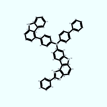 c1ccc(-c2ccc(N(c3ccc(-c4cccc5sc6ccccc6c45)cc3)c3ccc4c(c3)oc3ccc5sc(-c6ccccc6)nc5c34)cc2)cc1